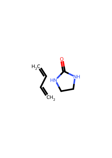 C=CC=C.O=C1NCCN1